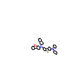 c1ccc(N(c2ccccc2)c2ccc3c(c2)sc2ccc(N(c4ccc5ccccc5c4)c4ccc5c(c4)oc4ccccc45)cc23)cc1